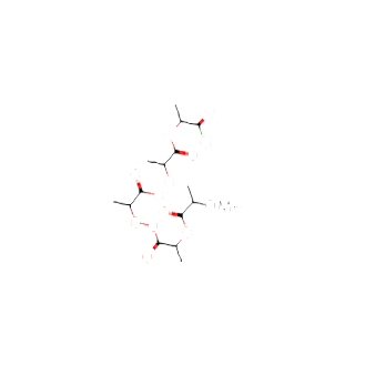 COC(C)C(=O)OC(C)C(=O)OOC(C)C(=O)OOC(C)C(=O)OC(C)C(=O)Cl